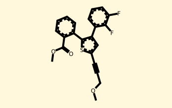 COCC#Cc1cc(-c2cccc(F)c2F)c(-c2ccccc2C(=O)OC)s1